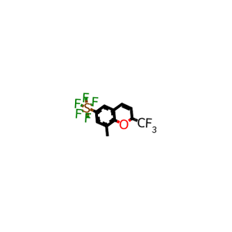 Cc1cc(S(F)(F)(F)(F)F)cc2c1OC(C(F)(F)F)C=C2